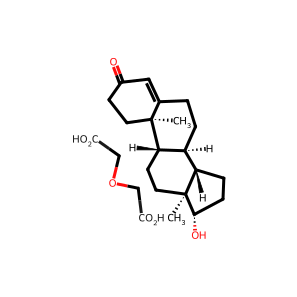 C[C@]12CC[C@H]3[C@@H](CCC4=CC(=O)CC[C@@]43C)[C@@H]1CC[C@@H]2O.O=C(O)COCC(=O)O